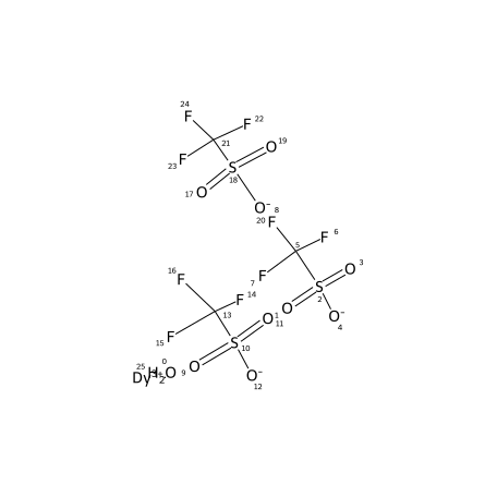 O.O=S(=O)([O-])C(F)(F)F.O=S(=O)([O-])C(F)(F)F.O=S(=O)([O-])C(F)(F)F.[Dy+3]